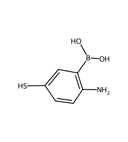 Nc1ccc(S)cc1B(O)O